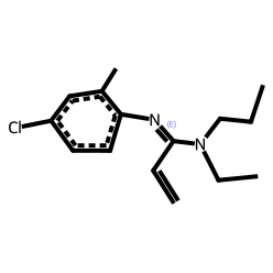 C=C/C(=N\c1ccc(Cl)cc1C)N(CC)CCC